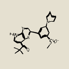 C[S+]([O-])c1cc(-c2cnc3[nH]cc(C(=O)C(C)(C)C)c3n2)cc(N2CCCC2)c1